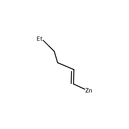 CCCCC=[CH][Zn]